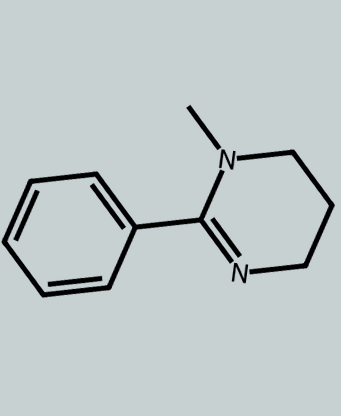 CN1CCCN=C1c1ccccc1